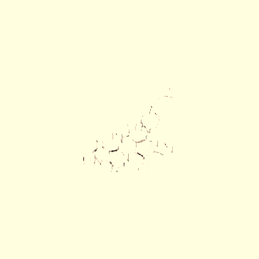 CC(Nc1ncnc2[nH]cnc12)c1cc(Cl)c2cncn2c1N1CCN(CC2CC2)CC1